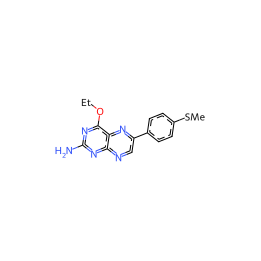 CCOc1nc(N)nc2ncc(-c3ccc(SC)cc3)nc12